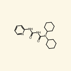 O=C(NC(=O)N(C1CCCCC1)C1CCCCC1)Nc1ccccn1